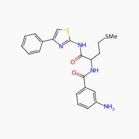 CSCCC(NC(=O)c1cccc(N)c1)C(=O)Nc1nc(-c2ccccc2)cs1